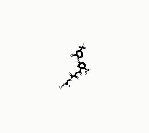 COC(=O)COC(=O)C(=O)CC(=O)c1cc(Oc2ccc(C(F)(F)F)cc2Cl)ccc1[N+](=O)[O-]